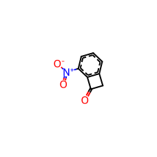 O=C1Cc2cccc([N+](=O)[O-])c21